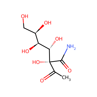 CC(=O)[C@](O)(C(N)=O)[C@@H](O)[C@@H](O)[C@H](O)CO